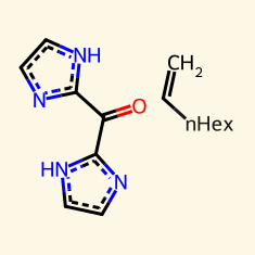 C=CCCCCCC.O=C(c1ncc[nH]1)c1ncc[nH]1